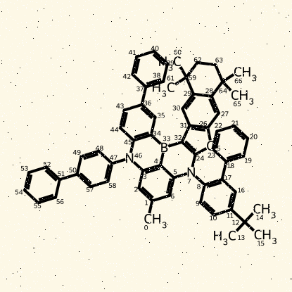 Cc1cc2c3c(c1)N(c1ccc(C(C)(C)C)cc1-c1ccccc1)c1oc4cc5c(cc4c1B3c1cc(-c3ccccc3)ccc1N2c1ccc(-c2ccccc2)cc1)C(C)(C)CCC5(C)C